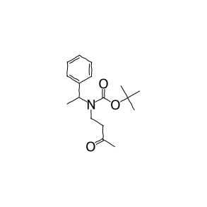 CC(=O)CCN(C(=O)OC(C)(C)C)C(C)c1ccccc1